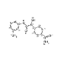 Cc1cccc(NC(=O)N(S)c2ccc(C(N)=O)cc2)c1